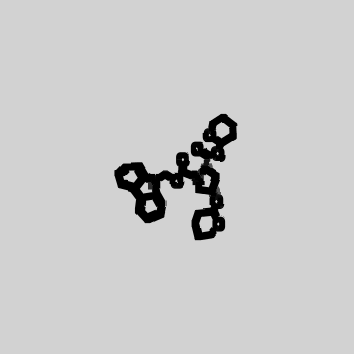 O=C(OC1CCCCO1)[C@@H]1C[C@@H](OC2CCCCO2)CN1C(=O)OCn1c2ccccc2c2ccccc21